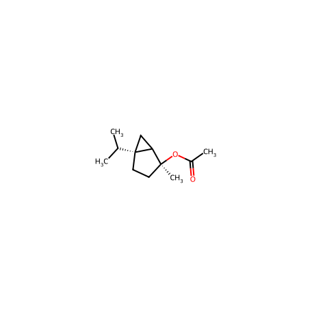 CC(=O)O[C@@]1(C)CC[C@@]2(C(C)C)CC21